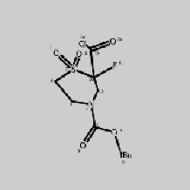 CC(C)(C)OC(=O)N1CCS(=O)(=O)C(F)(C(=O)Cl)C1